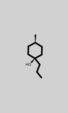 CCC[C@]1(O)CC[C@@H](C)CC1